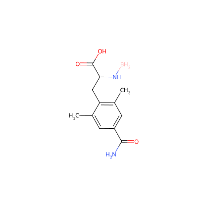 BNC(Cc1c(C)cc(C(N)=O)cc1C)C(=O)O